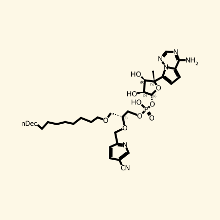 CCCCCCCCCCCCCCCCCCOC[C@H](COP(=O)(O)O[C@H]1O[C@@](C)(c2ccc3c(N)ncnn23)[C@H](O)[C@@H]1O)OCc1ccc(C#N)cn1